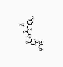 CC(CO)Nc1ncc(Cl)c(N2CC(C(=O)N[C@H](CO)c3ccc(Cl)cc3)C2)n1